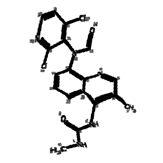 CNC(=O)Nc1c(C)cnc2c(N(C=O)c3c(Cl)ccnc3Cl)cccc12